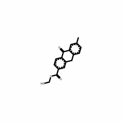 Cc1ccc2c(c1)C(=O)c1ccc(C(=O)OCO)cc1C2